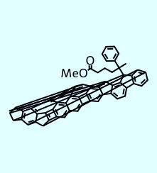 COC(=O)CCCC(C)(c1ccccc1)C12c3c4ccc5c3-c3c6c7c8c(c9cc%10cc%11c%12cc%13c%14ccc-4c1c%14c1c4c%14c(c3C42)c7c2c(c98)c%10c3c%11c%12c(c%131)c%14c32)C56